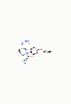 CCCCCOc1ccc([N+]2(C(=O)C3CC3)C=C(CN)C=CC2)cc1